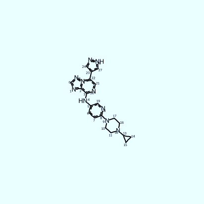 c1nc2c(Nc3ccc(N4CCN(C5CC5)CC4)nc3)ncc(-c3cn[nH]c3)n2n1